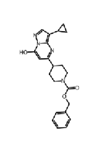 O=C(OCc1ccccc1)N1CCC(c2cc(O)n3ncc(C4CC4)c3n2)CC1